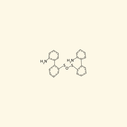 Nc1ccccc1-c1ccccc1SOSc1ccccc1-c1ccccc1N